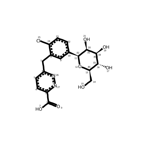 O=C(O)c1ccc(Cc2cc([C@@H]3O[C@H](CO)[C@@H](O)[C@H](O)[C@@H]3O)ccc2Cl)nn1